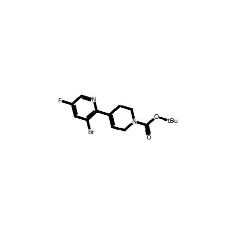 CC(C)(C)OC(=O)N1CC=C(c2ncc(F)cc2Br)CC1